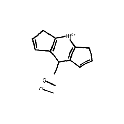 CC1C2=[C](CC=C2)[Hf+2][C]2=C1C=CC2.C[O-].C[O-]